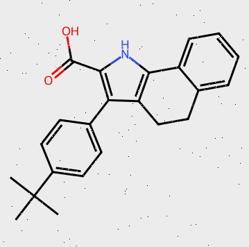 CC(C)(C)c1ccc(-c2c(C(=O)O)[nH]c3c2CCc2ccccc2-3)cc1